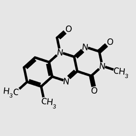 Cc1ccc2c(nc3c(=O)n(C)c(=O)nc-3n2C=O)c1C